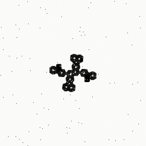 c1cc2c3c(cccc3c1)-c1cc3c(cc1-2)c(-c1ccc2c(c1)sc1ccccc12)cc1c2cc4c(cc2c(-c2ccc5c(c2)sc2ccccc25)cc31)-c1cccc2cccc-4c12